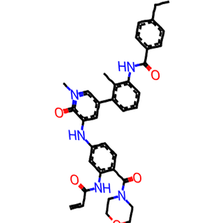 C=CC(=O)Nc1cc(Nc2cc(-c3cccc(NC(=O)c4ccc(CC)cc4)c3C)cn(C)c2=O)ccc1C(=O)N1CCOCC1